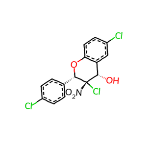 O=[N+]([O-])[C@]1(Cl)[C@@H](O)c2cc(Cl)ccc2O[C@H]1c1ccc(Cl)cc1